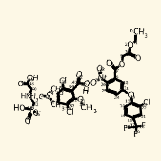 CCOC(=O)COC(=O)c1cc(Oc2ccc(C(F)(F)F)cc2Cl)ccc1[N+](=O)[O-].COc1c(Cl)ccc(Cl)c1C(=O)O.C[S+](C)C.O=C(O)CNCP(=O)([O-])O